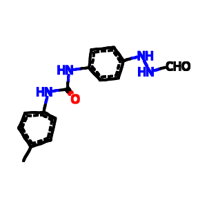 Cc1ccc(NC(=O)Nc2ccc(NNC=O)cc2)cc1